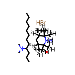 Br.CCCCCCCCC(CCC)N(C)C.[2H]C([2H])([2H])C1(C([2H])([2H])[2H])NC(C([2H])([2H])[2H])(C([2H])([2H])[2H])C([2H])([2H])CC1([2H])[2H]